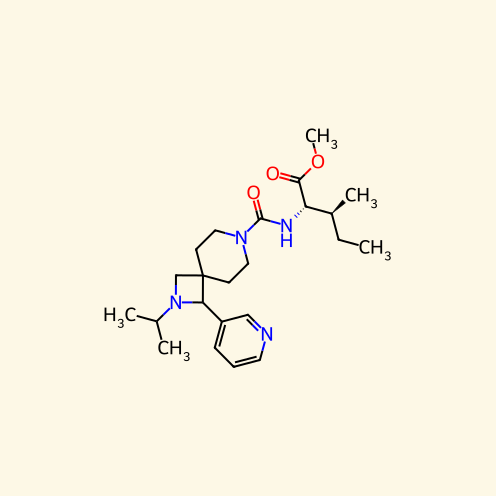 CC[C@H](C)[C@H](NC(=O)N1CCC2(CC1)CN(C(C)C)C2c1cccnc1)C(=O)OC